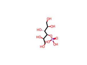 O=P(O)(O)O[C@H]([C@H](O)[C@H](O)CO)[C@H](O)CO